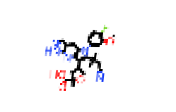 COc1cc(-n2c(C(C)(C)CC#N)c(C3COC(C)(C(=O)O)C3)c3nc4[nH]ncc4cc32)ccc1F